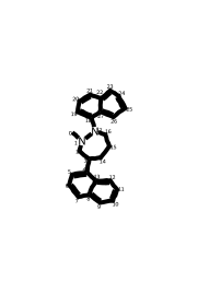 CN1CC(c2cccc3ccccc23)CCCN1c1cccc2ccccc12